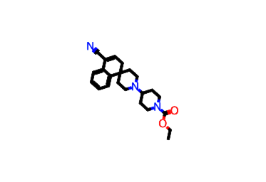 CCOC(=O)N1CCC(N2CCC3(CC=C(C#N)c4ccccc43)CC2)CC1